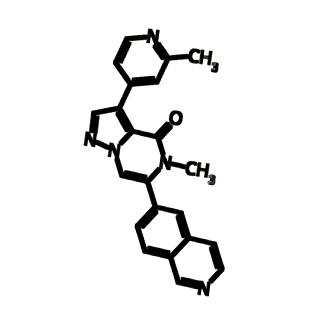 Cc1cc(-c2cnn3cc(-c4ccc5cnccc5c4)n(C)c(=O)c23)ccn1